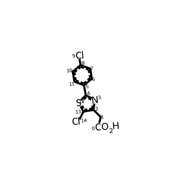 O=C(O)Cc1nc(-c2ccc(Cl)cc2)sc1Cl